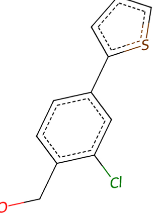 OCc1ccc(-c2cccs2)cc1Cl